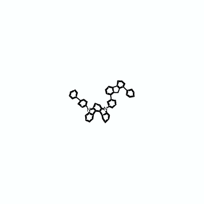 c1ccc(-c2ccc(-n3c4ccccc4c4c5c6ccccc6n(-c6cccc(-c7cccc8c7Cc7c(-c9ccccc9)cccc7-8)c6)c5ccc43)cc2)cc1